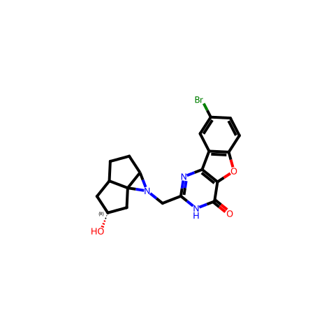 O=c1[nH]c(CN2C3CCC4C[C@@H](O)CC432)nc2c1oc1ccc(Br)cc12